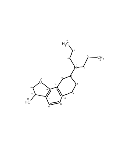 CCCN(CCC)C1CCc2ccc3c(c2C1)OCC3O